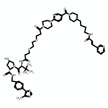 Cc1ncsc1-c1ccc(CNC(=O)[C@@H]2C[C@@H](O)CN2C(=O)[C@@H](NC(=O)CCOCCOCCC(=O)N2CCN(c3ccc(C(=O)N4CCC(CCCCNC(=O)/C=C/c5cccnc5)CC4)cn3)CC2)C(C)(C)C)cc1